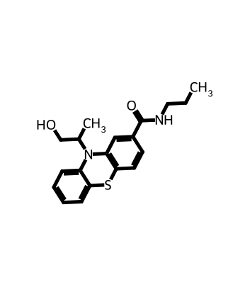 CCCNC(=O)c1ccc2c(c1)N(C(C)CO)c1ccccc1S2